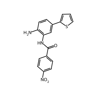 Nc1ccc(-c2cccs2)cc1NC(=O)c1ccc([N+](=O)[O-])cc1